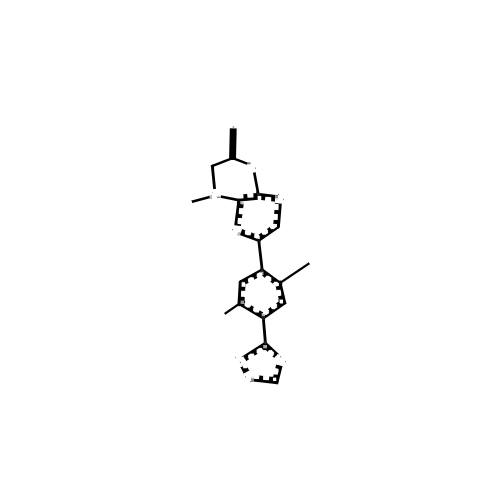 Cc1cc(-c2nc[nH]n2)c(F)cc1-c1cnc2c(n1)N(C)CC(=O)N2